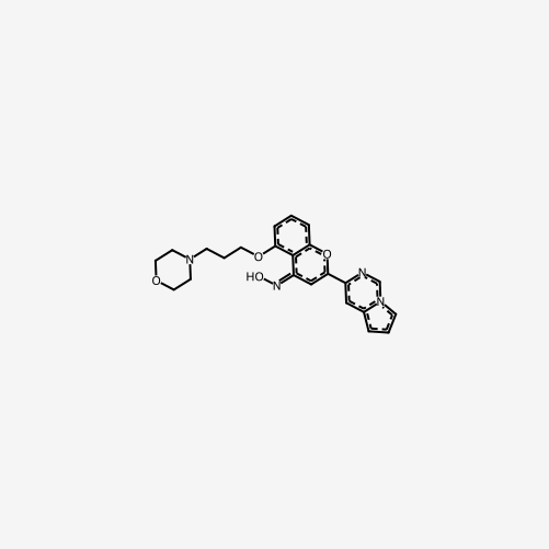 O/N=c1/cc(-c2cc3cccn3cn2)oc2cccc(OCCCN3CCOCC3)c12